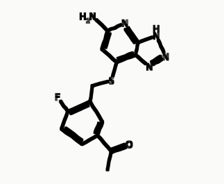 CC(=O)c1ccc(F)c(CSc2cc(N)nc3[nH]nnc23)c1